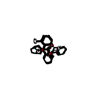 O=C(Nc1ccccn1)C1CC2CCC(C1)N2C(c1ccccc1Cl)c1ccccc1Cl